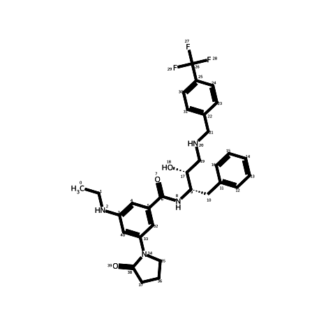 CCNc1cc(C(=O)N[C@@H](Cc2ccccc2)[C@H](O)CNCc2ccc(C(F)(F)F)cc2)cc(N2CCCC2=O)c1